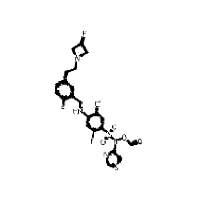 O=CON(c1cscn1)S(=O)(=O)c1cc(Cl)c(NCc2cc(CCN3CC(F)C3)ccc2F)cc1F